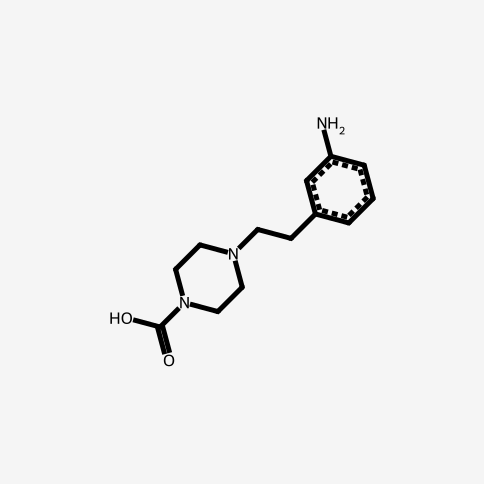 Nc1cccc(CCN2CCN(C(=O)O)CC2)c1